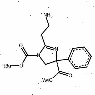 COC(=O)C1(c2ccccc2)CN(C(=O)OC(C)(C)C)C(CCN)=N1